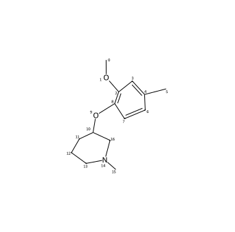 COc1cc(C)ccc1OC1CCCN(C)C1